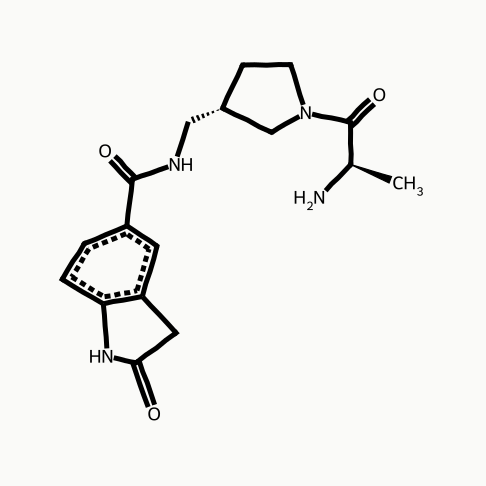 C[C@@H](N)C(=O)N1CC[C@@H](CNC(=O)c2ccc3c(c2)CC(=O)N3)C1